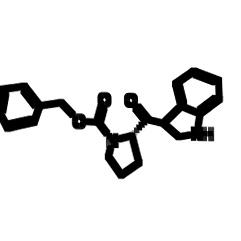 O=C(C1CNc2ccccc21)[C@@H]1CCCN1C(=O)OCc1ccccc1